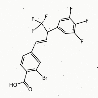 O=C(O)c1ccc(C=CC(c2cc(F)c(F)c(F)c2)C(F)(F)F)cc1Br